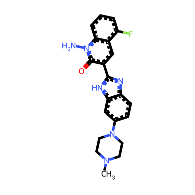 CN1CCN(c2ccc3nc(-c4cc5c(F)cccc5n(N)c4=O)[nH]c3c2)CC1